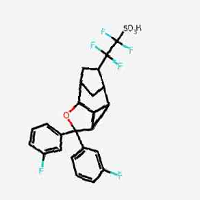 O=S(=O)(O)C(F)(F)C(F)(F)C1CC2CC1C1C3C2OC(c2cccc(F)c2)(c2cccc(F)c2)C13